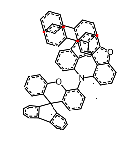 c1ccc(-c2ccc3oc4cccc(N(c5cccc6c5Oc5ccccc5C65c6ccccc6-c6ccccc65)c5cccc6c5oc5cccc(-c7ccccc7)c56)c4c3c2)cc1